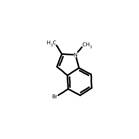 Cc1cc2c(Br)cccc2n1C